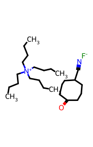 CCCC[N+](CCCC)(CCCC)CCCC.N#CC1CCCC(=O)CCC1.[F-]